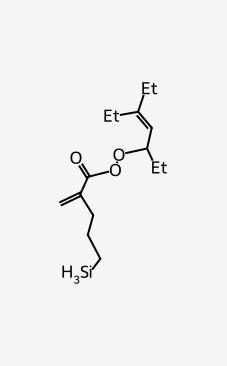 C=C(CCC[SiH3])C(=O)OOC(C=C(CC)CC)CC